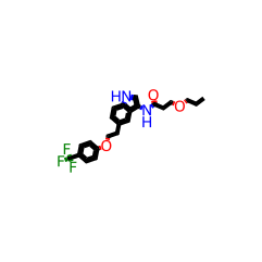 CCCOCCC(=O)Nc1c[nH]c2ccc(CCOc3ccc(C(F)(F)F)cc3)cc12